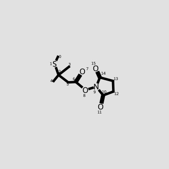 CSC(C)(C)CC(=O)ON1C(=O)CCC1=O